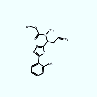 C=CC[C@@H](c1nnc(-c2ccccc2N)o1)N(C)C(=O)OC(C)(C)C